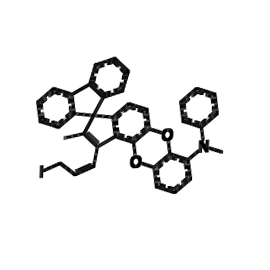 CC1=C(/C=C\CI)c2c(ccc3c2Oc2cccc(N(C)c4ccccc4)c2O3)C12c1ccccc1-c1ccccc12